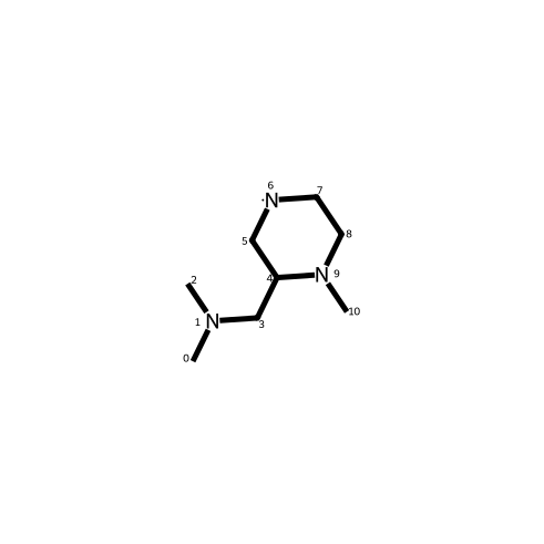 CN(C)CC1C[N]CCN1C